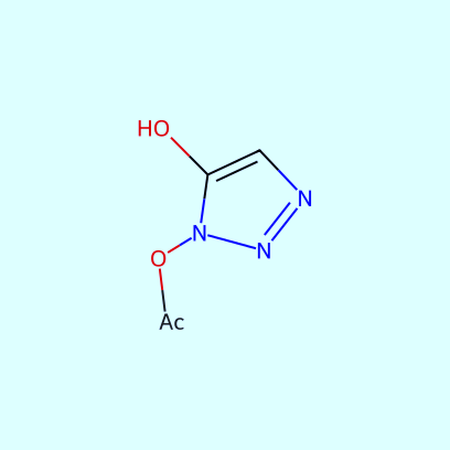 CC(=O)On1nncc1O